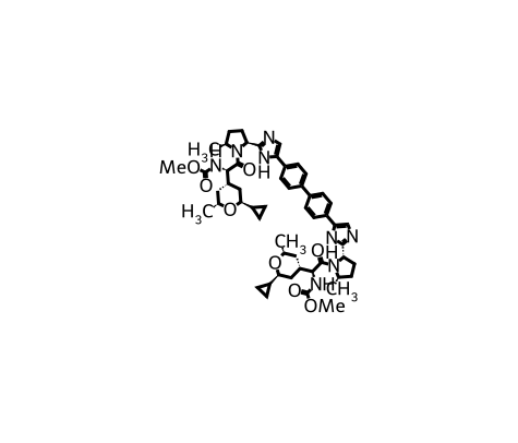 COC(=O)N[C@H](C(=O)N1[C@@H](C)CC[C@H]1c1ncc(-c2ccc(-c3ccc(-c4cnc([C@@H]5CC[C@H](C)N5C(=O)[C@@H](NC(=O)OC)[C@H]5C[C@@H](C)O[C@H](C6CC6)C5)[nH]4)cc3)cc2)[nH]1)[C@H]1C[C@@H](C)O[C@H](C2CC2)C1